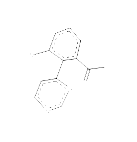 Nc1cccc(C(=O)O)c1-c1ccncn1